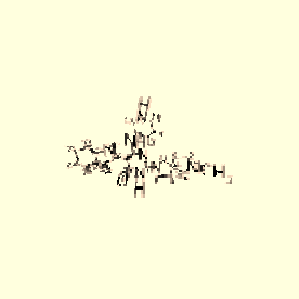 CN1CCC2(CCN(c3nc(NC4CCCNC4)c(-c4nc5ccccc5s4)c(=O)[nH]3)C2)C1